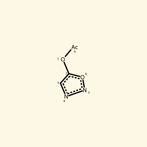 CC(=O)Oc1cnno1